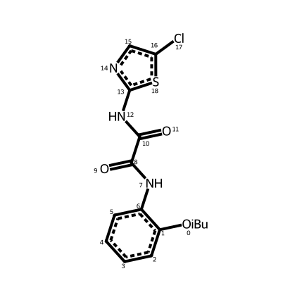 CC(C)COc1ccccc1NC(=O)C(=O)Nc1ncc(Cl)s1